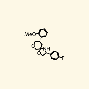 COc1ccccc1[C@H]1COCC2(C1)N[C@@H](c1ccc(F)cc1)CO2